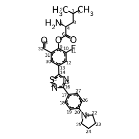 CC(C)C[C@H](N)C(=O)Oc1c(F)cc(-c2nc(-c3ccc(N4CCCC4)cc3)ns2)cc1C=O